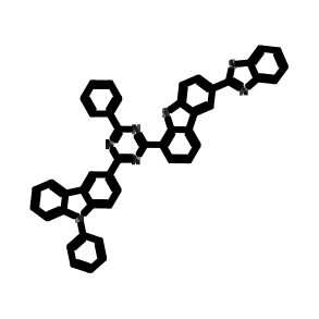 c1ccc(-c2nc(-c3ccc4c(c3)c3ccccc3n4-c3ccccc3)nc(-c3cccc4c3sc3ccc(-c5nc6ccccc6s5)cc34)n2)cc1